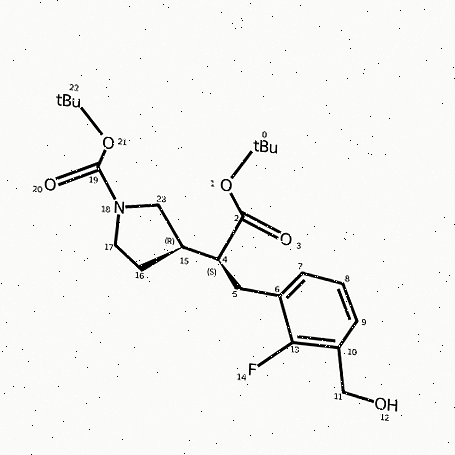 CC(C)(C)OC(=O)[C@@H](Cc1cccc(CO)c1F)[C@H]1CCN(C(=O)OC(C)(C)C)C1